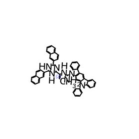 C/C=C(\NC(N)n1c2ccccc2c2cc3c4ccccc4n(-c4ccccc4)c3cc21)C1=NC(c2ccc3ccccc3c2)NC(c2ccc3ccccc3c2)N1